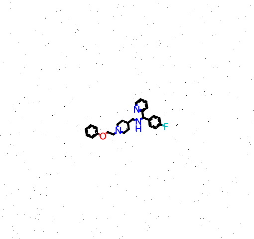 Fc1ccc(C(NCC2CCN(CCOc3ccccc3)CC2)c2ccccn2)cc1